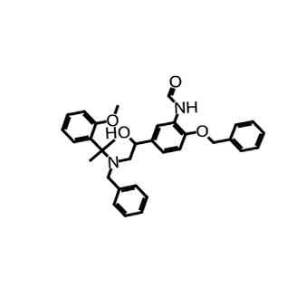 COc1ccccc1C(C)(C)N(Cc1ccccc1)CC(O)c1ccc(OCc2ccccc2)c(NC=O)c1